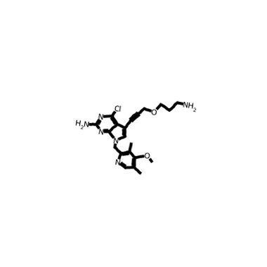 COc1c(C)cnc(Cn2cc(C#CCOCCCN)c3c(Cl)nc(N)nc32)c1C